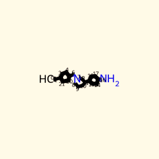 C#Cc1ccc(CN2CCCC(c3ccc(N)cc3)C2)cc1